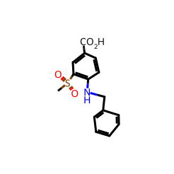 CS(=O)(=O)c1cc(C(=O)O)ccc1NCc1ccccc1